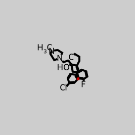 CN1CCN(CC2CCCCC(=Cc3ccc(Cl)cc3)C2(O)Cc2cccc(F)c2)CC1